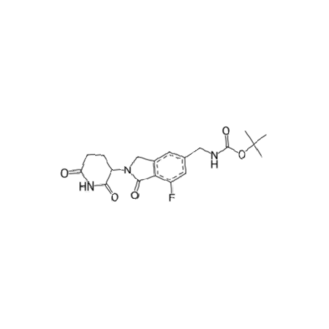 CC(C)(C)OC(=O)NCc1cc(F)c2c(c1)CN(C1CCC(=O)NC1=O)C2=O